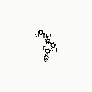 COc1cccc(CNC(=O)c2cc(-c3cc(Nc4cc(F)cc(N5CCOCC5)c4)ccc3C)no2)c1